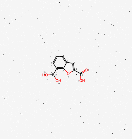 O=C(O)c1cc2cccc(B(O)O)c2o1